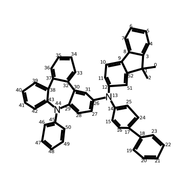 CC1(C)c2ccccc2-c2ccc(N(c3ccc(-c4ccccc4)cc3)c3ccc4c(c3)-c3ccccc3-c3ccccc3N4c3ccccc3)cc21